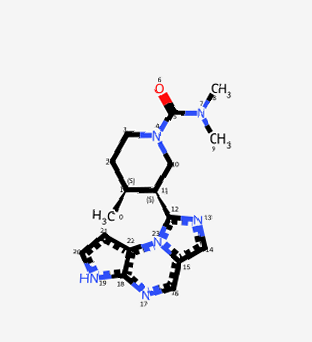 C[C@H]1CCN(C(=O)N(C)C)C[C@H]1c1ncc2cnc3[nH]ccc3n12